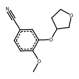 COc1ccc(C#N)cc1OC1CCOC1